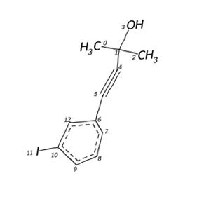 CC(C)(O)C#Cc1cccc(I)c1